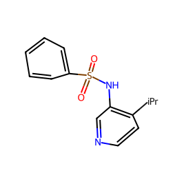 CC(C)c1ccncc1NS(=O)(=O)c1ccccc1